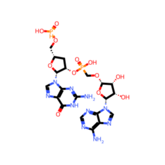 Nc1nc2c(ncn2[C@@H]2O[C@H](CO[PH](=O)O)C[C@@H]2OP(=O)(O)CO[C@H]2O[C@@H](n3cnc4c(N)ncnc43)[C@@H](O)[C@H]2O)c(=O)[nH]1